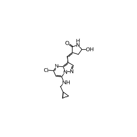 O=C1NC(O)C/C1=C\c1cnn2c(NCC3CC3)cc(Cl)nc12